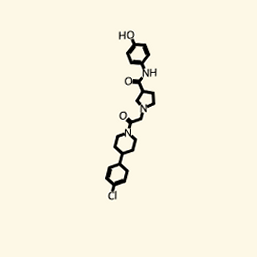 O=C(Nc1ccc(O)cc1)C1CCN(CC(=O)N2CCC(C3C=CC(Cl)=CC3)CC2)C1